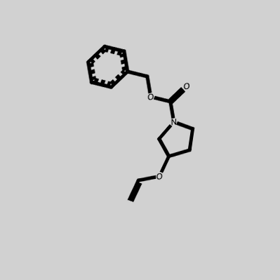 C=COC1CCN(C(=O)OCc2ccccc2)C1